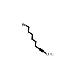 O=CC#CCCCCCCBr